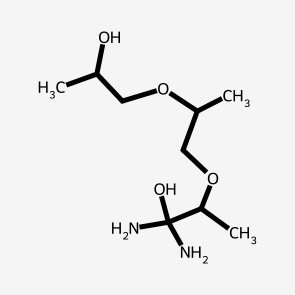 CC(O)COC(C)COC(C)C(N)(N)O